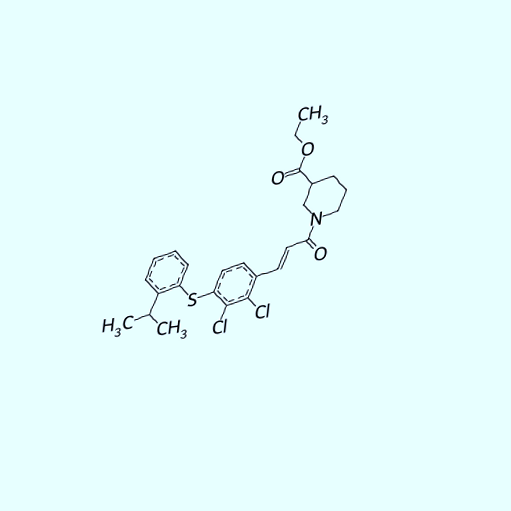 CCOC(=O)C1CCCN(C(=O)C=Cc2ccc(Sc3ccccc3C(C)C)c(Cl)c2Cl)C1